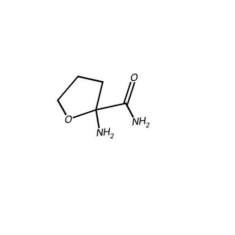 NC(=O)C1(N)CCCO1